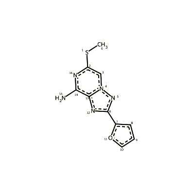 CSc1cn2nc(-c3ccco3)nc2c(N)n1